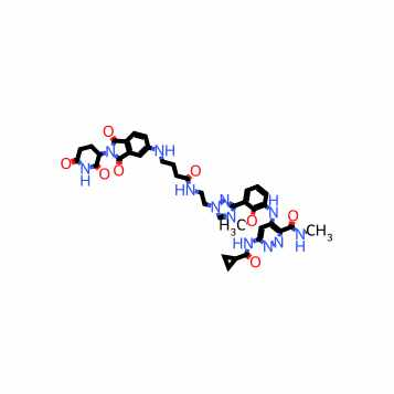 CNC(=O)c1nnc(NC(=O)C2CC2)cc1Nc1cccc(-c2ncn(CCNC(=O)CCCNc3ccc4c(c3)C(=O)N(C3CCC(=O)NC3=O)C4=O)n2)c1OC